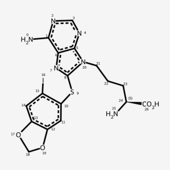 Nc1ncnc2c1nc(Sc1cc3c(cc1I)OCO3)n2CCC[C@H](N)C(=O)O